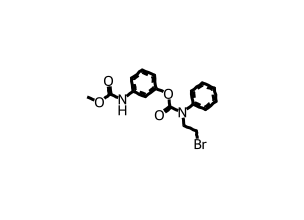 COC(=O)Nc1cccc(OC(=O)N(CCBr)c2ccccc2)c1